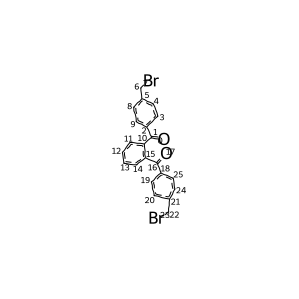 O=C(c1ccc(CBr)cc1)c1ccccc1C(=O)c1ccc(CBr)cc1